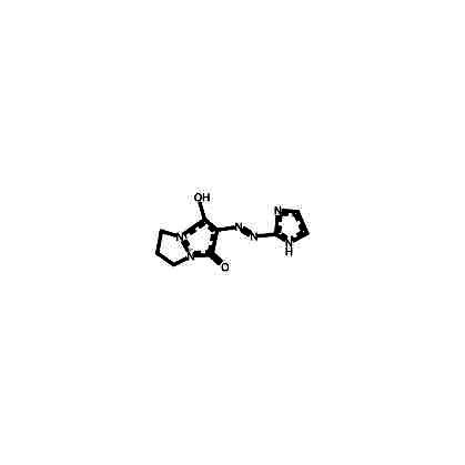 O=c1c(/N=N/c2ncc[nH]2)c(O)n2n1CCC2